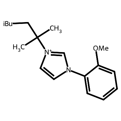 CCC(C)CC(C)(C)[n+]1ccn(-c2ccccc2OC)c1